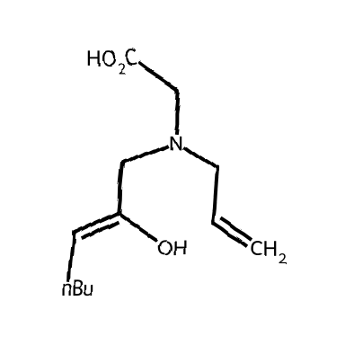 C=CCN(CC(=O)O)CC(O)=CCCCC